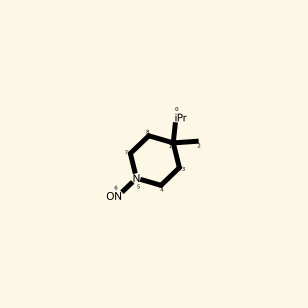 CC(C)C1(C)CCN(N=O)CC1